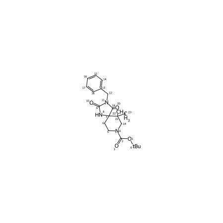 CC(C)(C)OC(=O)N1CCC2(NC(=O)N(Cc3ccccc3)C2=O)C(C)(C)C1